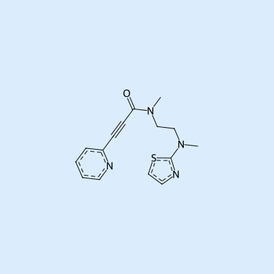 CN(CCN(C)c1nccs1)C(=O)C#Cc1ccccn1